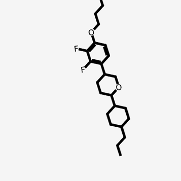 CCCCOc1ccc(C2CCC(C3CCC(CCC)CC3)OC2)c(F)c1F